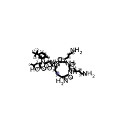 CC(C)C[C@H](NC(=O)[C@H](Cc1ccc(C(C)(C)C)cc1)NC(=O)[C@@H]1C/C=C/C[C@H](N)C(=O)N[C@@H](CCCCN)C(=O)N[C@@H](CCCCN)C(=O)N1)C(=O)O